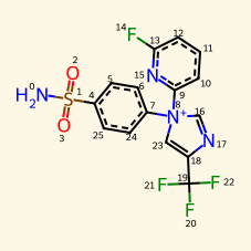 NS(=O)(=O)c1ccc([N+]2(c3cccc(F)n3)C=NC(C(F)(F)F)=C2)cc1